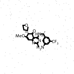 COC1=Cc2nc(C)nc(N[C@H](C)c3cc(N)cc(C(F)(F)F)c3)c2C(=O)C1[C@@H]1CCOC1